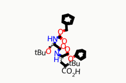 CC(C)(C)OC[C@H](NC(=O)OCc1ccccc1)C(=O)N[C@@H](CC(C(=O)O)C(C)(C)C)C(=O)Oc1ccccc1